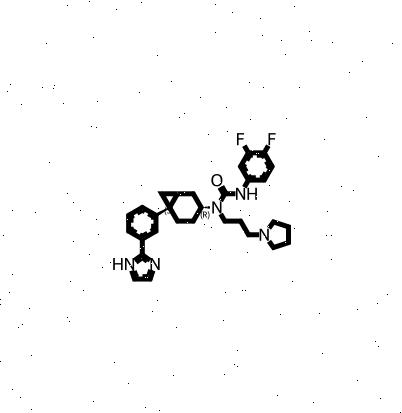 O=C(Nc1ccc(F)c(F)c1)N(CCCN1CCCC1)[C@@H]1CC[C@]2(c3cccc(-c4ncc[nH]4)c3)CC2C1